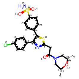 C[C@@H]1CN(C(=O)Cc2nc(-c3ccc(Cl)cc3)c(-c3ccc(S(N)(=O)=O)cc3)s2)C[C@H](C)O1